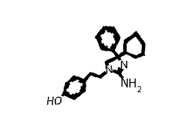 NC1=NC(c2ccccc2)(C2CCCCC2)CN1CCc1ccc(O)cc1